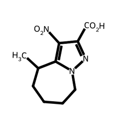 CC1CCCCn2nc(C(=O)O)c([N+](=O)[O-])c21